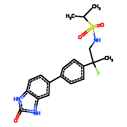 CC(C)S(=O)(=O)NCC(C)(F)c1ccc(-c2ccc3[nH]c(=O)[nH]c3c2)cc1